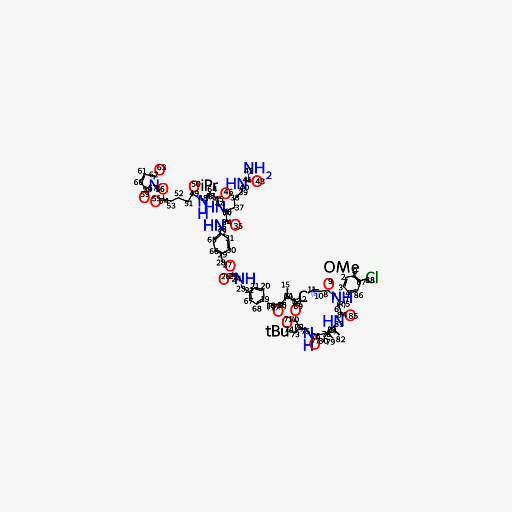 COc1ccc(C[C@H]2NC(=O)/C=C/C[C@@H]([C@H](C)[C@H]3O[C@@H]3c3ccc(CNC(=O)OCc4ccc(NC(=O)[C@H](CCCNC(N)=O)NC(=O)[C@@H](NC(=O)CCCC(=O)ON5C(=O)C=CC5=O)C(C)C)cc4)cc3)OC(=O)[C@H](CC(C)(C)C)NC(=O)C(C)(C)[C@H](C)NC2=O)cc1Cl